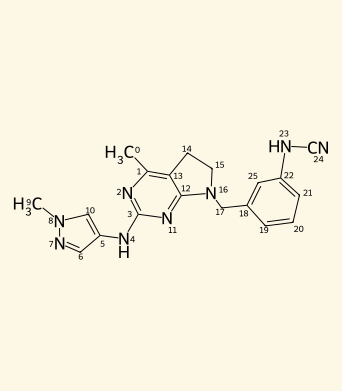 Cc1nc(Nc2cnn(C)c2)nc2c1CCN2Cc1cccc(NC#N)c1